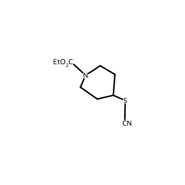 CCOC(=O)N1CCC(SC#N)CC1